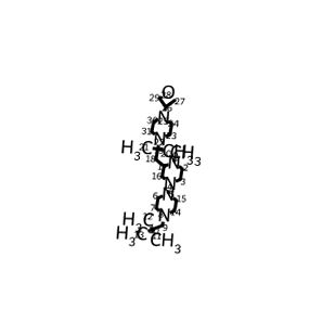 CN1CCN(N2CCN(CC(C)(C)C)CC2)CC1CC(C)(C)N1CCN(C2COC2)CC1